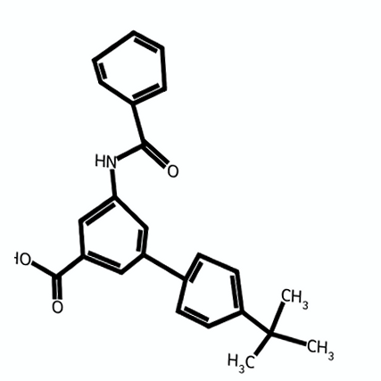 CC(C)(C)c1ccc(-c2cc(NC(=O)c3ccccc3)cc(C(=O)O)c2)cc1